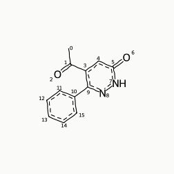 CC(=O)c1cc(=O)[nH]nc1-c1ccccc1